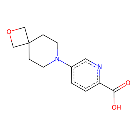 O=C(O)c1ccc(N2CCC3(CC2)COC3)cn1